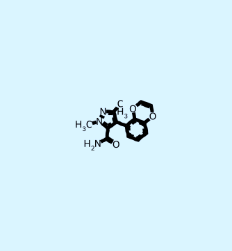 Cc1nn(C)c(C(N)=O)c1-c1cccc2c1OC=CO2